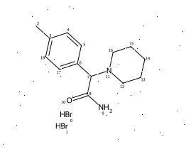 Br.Br.Cc1ccc(C(C(N)=O)N2CCCCC2)cc1